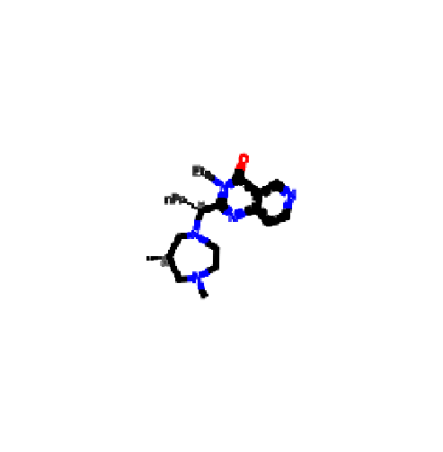 CCC[C@H](c1nc2ccncc2c(=O)n1CC)N1CCN(C)C[C@H](C)C1